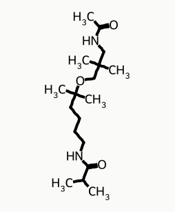 CC(=O)NCC(C)(C)COC(C)(C)CCCCNC(=O)C(C)C